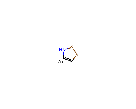 C1=CSSN1.[Zn]